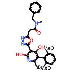 CCCCc1nc(O)c(-c2nnc(CC(=O)N(C)Cc3ccccc3)o2)c(O)c1-c1c(OC)cccc1OC